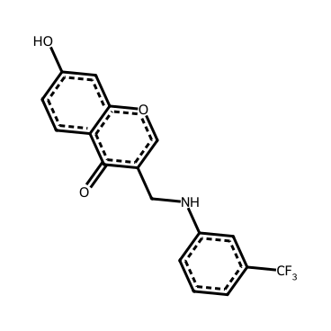 O=c1c(CNc2cccc(C(F)(F)F)c2)coc2cc(O)ccc12